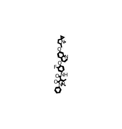 Cc1c(C(=O)Nc2ccc(Oc3ccnc4cc(OCC5CCC6(CC6)N5C)ccc34)c(F)c2)c(=O)n(-c2ccccc2)n1C